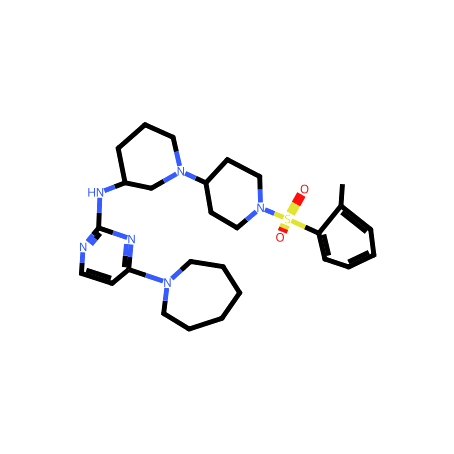 Cc1ccccc1S(=O)(=O)N1CCC(N2CCCC(Nc3nccc(N4CCCCCC4)n3)C2)CC1